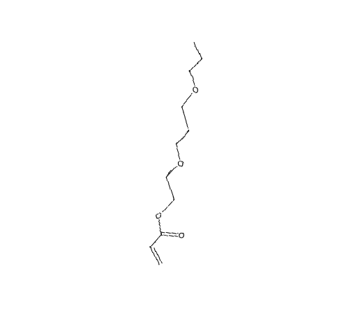 C=CC(=O)OCCOCCCOCCC